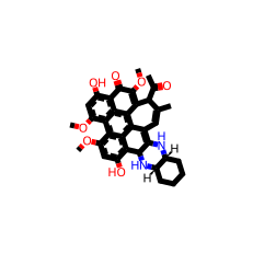 COC1=C2c3c4c5c(c(O)cc(OC)c5c5c(OC)cc(O)c(c35)C1=O)C1N[C@@H]3CCCC[C@@H]3NC1=C4C=C(C)C2C(C)=O